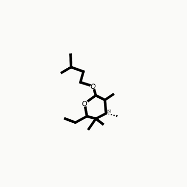 CCC1OC(OCCC(C)C)C(C)[C@H](C)C1(C)C